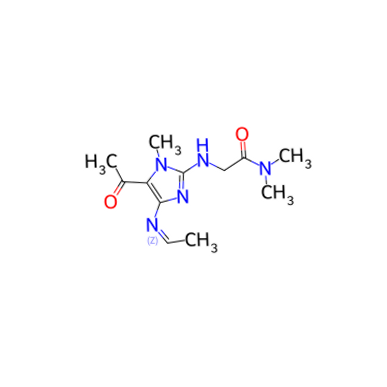 C/C=N\c1nc(NCC(=O)N(C)C)n(C)c1C(C)=O